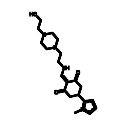 Cn1cccc1C1CC(=O)C(=CNCCN2CCN(CCO)CC2)C(=O)C1